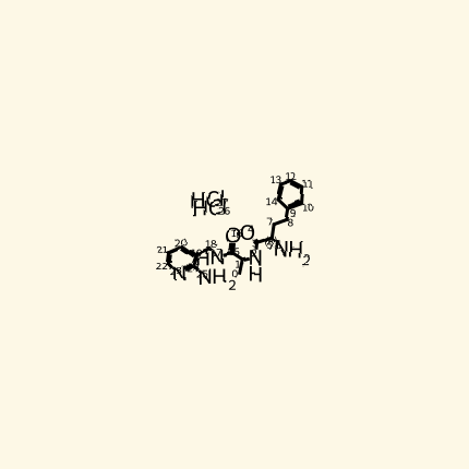 CC(NC(=O)[C@H](N)CCc1ccccc1)C(=O)NCc1cccnc1N.Cl.Cl